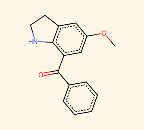 COc1cc2c(c(C(=O)c3ccccc3)c1)NCC2